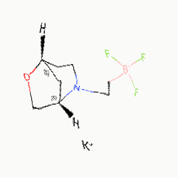 F[B-](F)(F)CN1C[C@@H]2C[C@H]1CO2.[K+]